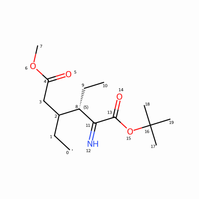 [CH2]CC(CC(=O)OC)[C@H](CC)C(=N)C(=O)OC(C)(C)C